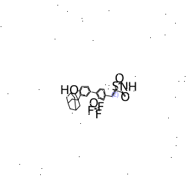 O=C1NC(=O)/C(=C/c2ccc(-c3ccc(O)c(C45CC6CC(CC(C6)C4)C5)c3)c(OC(F)(F)F)c2)S1